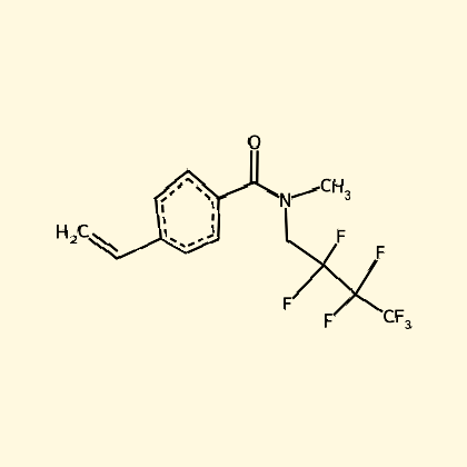 C=Cc1ccc(C(=O)N(C)CC(F)(F)C(F)(F)C(F)(F)F)cc1